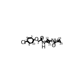 O=C(COc1ccc(Cl)cc1)NC12CC(NC(=O)C3CC3)(C1)C2